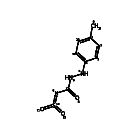 Cc1ccc(NNC(=O)N=S(=O)=O)cc1